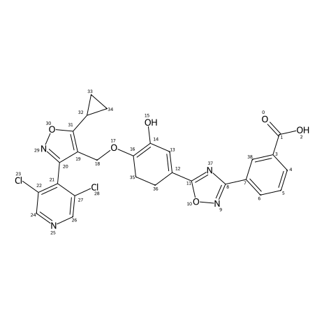 O=C(O)c1cccc(-c2noc(C3=CC(O)=C(OCc4c(-c5c(Cl)cncc5Cl)noc4C4CC4)CC3)n2)c1